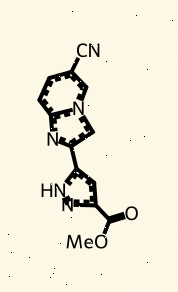 COC(=O)c1cc(-c2cn3cc(C#N)ccc3n2)[nH]n1